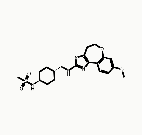 COc1ccc2c(c1)OCCc1sc(NC[C@H]3CC[C@H](NS(C)(=O)=O)CC3)nc1-2